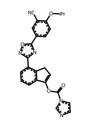 CC(C)Oc1ccc(-c2nc(-c3cccc4c3CC=C4OC(=O)n3ccnc3)no2)cc1C#N